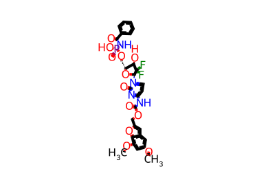 COc1cc(OC)c2oc(COC(=O)Nc3ccn([C@@H]4O[C@H](COP(=O)(O)NC(=O)c5ccccc5)[C@@H](O)C4(F)F)c(=O)n3)cc2c1